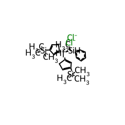 C[SiH](c1ccccc1)[Hf+2]([C]1=CC([Si](C)(C)C)=CC1)[C]1=CC([Si](C)(C)C)=CC1.[Cl-].[Cl-]